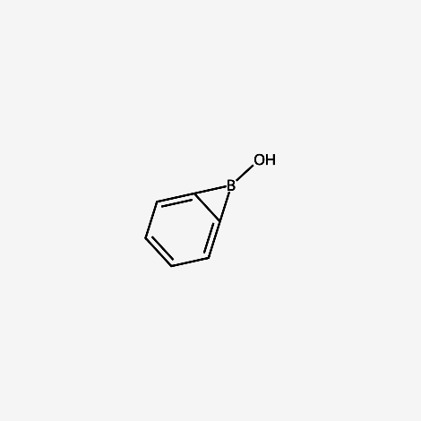 OB1c2ccccc21